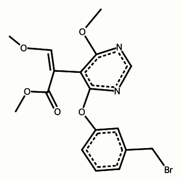 COC=C(C(=O)OC)c1c(OC)ncnc1Oc1cccc(CBr)c1